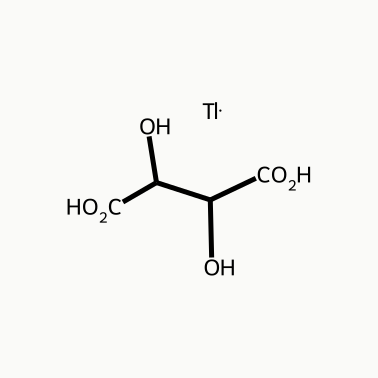 O=C(O)C(O)C(O)C(=O)O.[Tl]